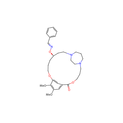 COc1cc2cc(c1OC)OCCC[C@@H](O/N=C/c1ccccc1)CCN1CCCN(CCCOC2=O)CC1